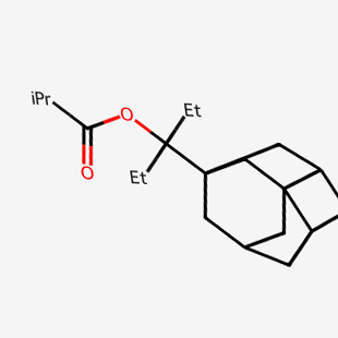 CCC(CC)(OC(=O)C(C)C)C12CC3CC4CC(C1)C4(C3)C2